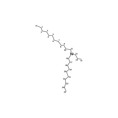 CCCCCCCCCCCCN(CCC)CCCCCCCCCC